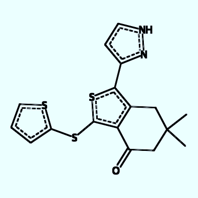 CC1(C)CC(=O)c2c(Sc3cccs3)sc(-c3cc[nH]n3)c2C1